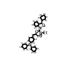 CCN1OC/C(=C\c2ccc(N(c3ccccc3)c3ccccc3)cc2)O/C1=N\c1ccccc1C(=O)c1ccccc1